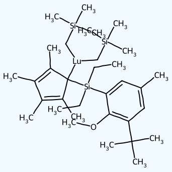 CC[Si](CC)(c1cc(C)cc(C(C)(C)C)c1OC)[C]1([Lu]([CH2][Si](C)(C)C)[CH2][Si](C)(C)C)C(C)=C(C)C(C)=C1C